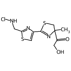 CC1(C(=O)CO)CSC(c2csc(CNCl)n2)=N1